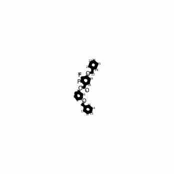 O=C(Oc1cccc(OCc2ccccc2)c1)c1ccc(OCc2ccccc2)c(F)c1F